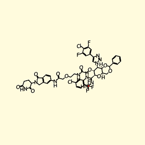 CC(=N)/N=C(\Nc1cc(Cl)ccc1C(F)(F)F)[C@@H]1O[C@@H]2COC(c3ccccc3)O[C@@H]2[C@H](n2cc(-c3cc(F)c(Cl)c(F)c3)nn2)[C@H]1OCC(=O)NCCOCC(=O)Nc1ccc2c(c1)CN(C1CCC(=O)NC1=O)C2=O